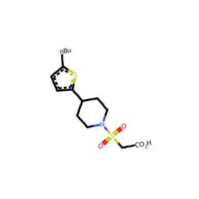 CCCCc1ccc(C2CCN(S(=O)(=O)CC(=O)O)CC2)s1